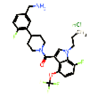 CCCn1cc(C(=O)N2CCC(c3cc(CN)ccc3F)CC2)c2c(OC(F)(F)F)ccc(F)c21.Cl